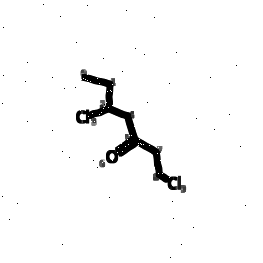 CCC(Cl)CC(=O)CCCl